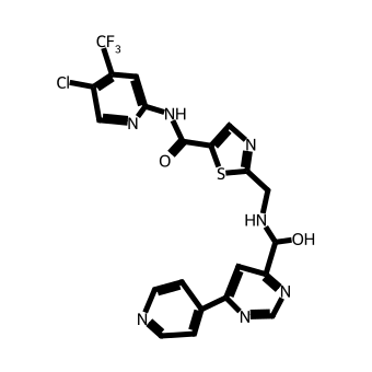 O=C(Nc1cc(C(F)(F)F)c(Cl)cn1)c1cnc(CNC(O)c2cc(-c3ccncc3)ncn2)s1